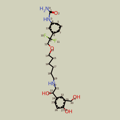 NC(=O)Nc1cccc(C(F)(F)COCCCCCCNCC(O)c2ccc(O)c(CO)c2)c1